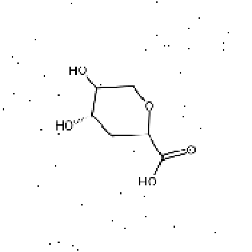 O=C(O)C1C[C@H](O)C(O)CO1